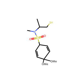 COC1(OC)C=CC(S(=O)(=O)N(C)C(C)CS)C=C1